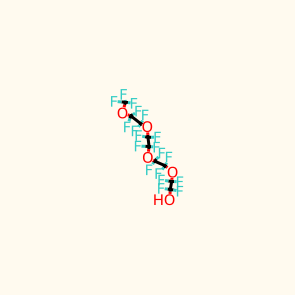 OC(F)(F)C(F)(F)OC(F)(F)C(F)(F)OC(F)(F)C(F)(F)OC(F)(F)C(F)(F)OC(F)(F)F